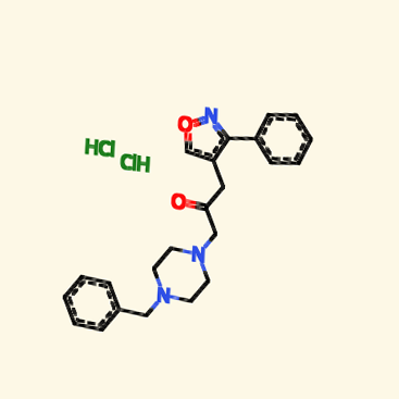 Cl.Cl.O=C(Cc1conc1-c1ccccc1)CN1CCN(Cc2ccccc2)CC1